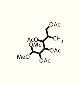 COC(OC)C(OC(C)=O)C(OC(C)=O)C(OC(C)=O)C(C)COC(C)=O